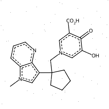 Cn1cc(C2(Cn3cc(O)c(=O)c(C(=O)O)c3)CCCC2)c2ncccc21